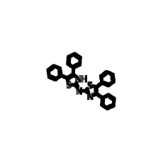 c1ccc(-c2nc(/N=c3\[nH]c(-c4ccccc4)c(-c4ccccc4)s3)sc2-c2ccccc2)cc1